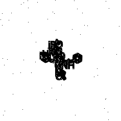 Cc1cc(C(=O)N[C@@H](CCc2ccccc2)C(=O)N[C@@H](Cc2ccncc2)C(=O)N[C@@H](CC(C)C)C(=O)[C@@]2(C)CO2)no1